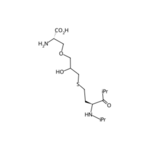 CC(C)N[C@@H](CCSCC(O)COC[C@H](N)C(=O)O)C(=O)C(C)C